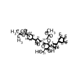 COC(=O)CO[C@@H]1[C@@H](n2cc(-c3cc(F)c(F)c(F)c3)nn2)[C@@H](O)[C@@H](CO)O[C@@H]1C[C@H]1CC(C2CCN(C(=O)OC(C)(C)C)CC2)=NO1